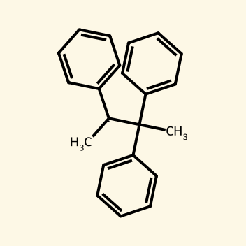 C[C](c1ccccc1)C(C)(c1ccccc1)c1ccccc1